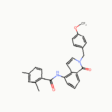 Cc1ccc(C(=O)Nc2cccc3c(=O)n(Cc4ccc(OC(F)(F)F)cc4)ccc23)c(C)c1